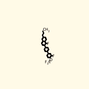 C=CCCc1ccc2c(F)c(-c3ccc(-c4ccc(OC(F)(F)F)c(F)c4)cc3)ccc2c1